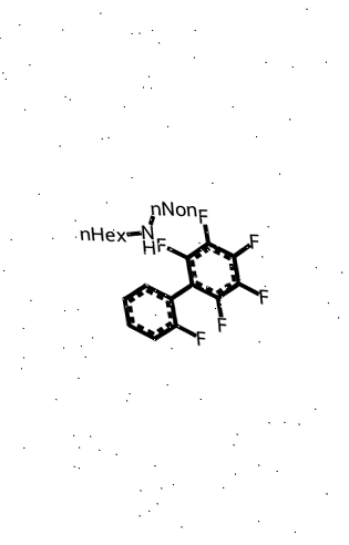 CCCCCCCCCNCCCCCC.Fc1ccccc1-c1c(F)c(F)c(F)c(F)c1F